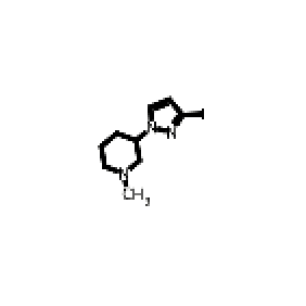 CN1CCCC(n2ccc(I)n2)C1